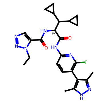 CCn1nncc1C(=O)N[C@H](C(=O)Nc1ccc(-c2c(C)n[nH]c2C)c(F)n1)C(C1CC1)C1CC1